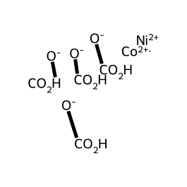 O=C([O-])O.O=C([O-])O.O=C([O-])O.O=C([O-])O.[Co+2].[Ni+2]